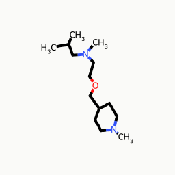 CC(C)CN(C)CCOCC1CCN(C)CC1